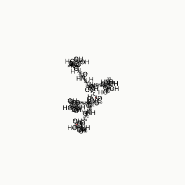 CCC(=O)C(CCCCNC(=O)C(CCCCNC(=O)CCCCO[C@@H]1OC(CO)[C@H](O)C(O)[C@@H]1NC(C)=O)NC(=O)CCCCO[C@@H]1OC(CO)[C@H](O)C(O)[C@@H]1NC(C)=O)NC(=O)C(CCCCNC(=O)CCCCO[C@@H]1OC(CO)[C@H](O)C(O)[C@@H]1NC(C)=O)NC(=O)CCCCO[C@@H]1OC(CO)[C@H](O)C(O)[C@@H]1NC(C)=O